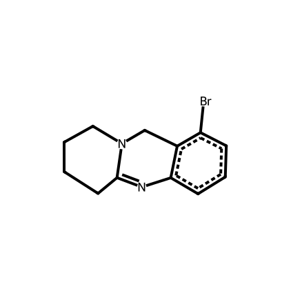 Brc1cccc2c1CN1CCCCC1=N2